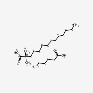 CCCCCC(=O)O.CCCCCCCCCCCCC(C)(C)C(=O)O